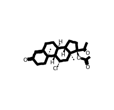 CC(=O)O[C@]1(C(C)=O)CC[C@H]2[C@@H]3CCC4=CC(=O)CC[C@]4(C)[C@H]3[C@@H](Cl)C[C@@]21C